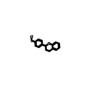 ClSc1ccc(C2CCc3ccccc3O2)cc1